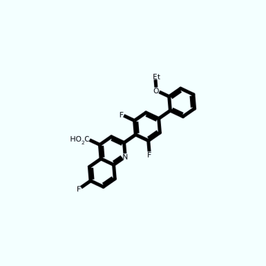 CCOc1ccccc1-c1cc(F)c(-c2cc(C(=O)O)c3cc(F)ccc3n2)c(F)c1